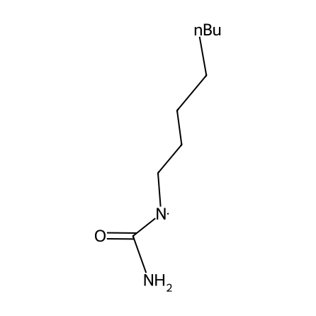 CCCCCCCC[N]C(N)=O